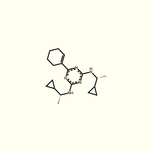 C[C@@H](Nc1nc(N[C@H](C)C2CC2)nc(C2=CCCCC2)n1)C1CC1